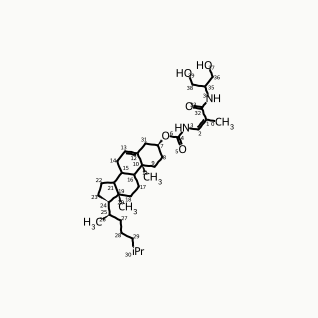 C/C(=C/NC(=O)O[C@H]1CC[C@@]2(C)C(=CCC3C2CC[C@@]2(C)C3CC[C@@H]2[C@H](C)CCCC(C)C)C1)C(=O)NC(CO)CO